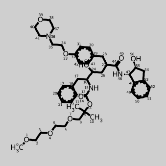 COCCOCCOCC(C)(C)OC(=O)NC(Cc1ccccc1)C(O)CC(Cc1ccc(OCCN2CCOCC2)cc1)C(=O)N[C@H]1c2ccccc2C[C@@H]1O